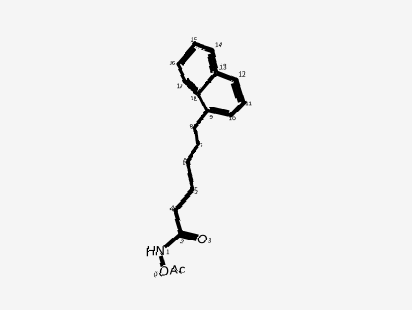 CC(=O)ONC(=O)CCCCCc1cccc2ccccc12